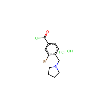 Cl.Cl.O=C(Cl)c1ccc(CN2CCCC2)c(Br)c1